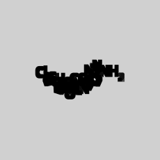 C[C@H]1C(=O)N(Cc2ccc3c(N)ncnc3c2)CCN1S(=O)(=O)c1ccc(-c2ccc(Cl)s2)s1